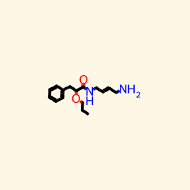 CCCOC(Cc1ccccc1)C(=O)NCC=CCN